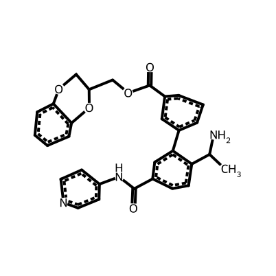 CC(N)c1ccc(C(=O)Nc2ccncc2)cc1-c1cccc(C(=O)OCC2COc3ccccc3O2)c1